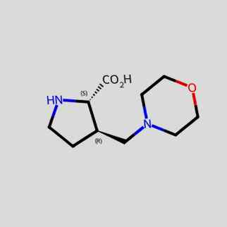 O=C(O)[C@H]1NCC[C@@H]1CN1CCOCC1